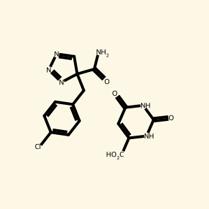 NC(=O)C1(Cc2ccc(Cl)cc2)C=NN=N1.O=C(O)c1cc(=O)[nH]c(=O)[nH]1